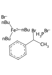 CC(Br)c1ccccc1.CCC[CH2][Fe+2]([CH2]CCC)[CH2]CCC.P.[Br-].[Br-]